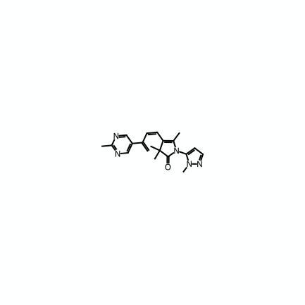 C=C(/C=C\C1=C(C)N(c2ccnn2C)C(=O)C1(C)C)c1cnc(C)nc1